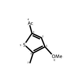 COc1cc(C(C)=O)sc1C